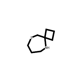 C1CNC2(CCC2)CSC1